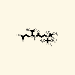 CC(C)(C)N(CCC(=O)N[C@@H](CCC(=O)O)C(=O)O)C(C)(C)C